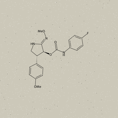 CO/N=C1\NC[C@@H](c2ccc(OC)cc2)[C@@H]1OC(=O)Nc1ccc(F)cc1